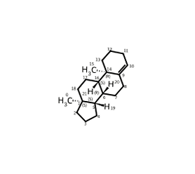 C[C@@]12CCC[C@H]1[C@H]1CCC3=CCCC[C@]3(C)[C@H]1CC2